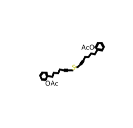 CC(=O)Oc1ccccc1CCCCC#CCSCC#CCCCCc1ccccc1OC(C)=O